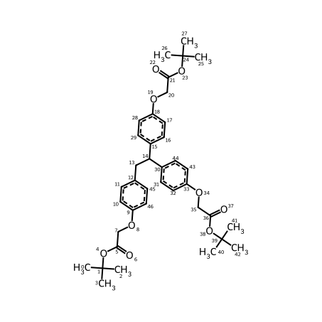 CC(C)(C)OC(=O)COc1ccc(CC(c2ccc(OCC(=O)OC(C)(C)C)cc2)c2ccc(OCC(=O)OC(C)(C)C)cc2)cc1